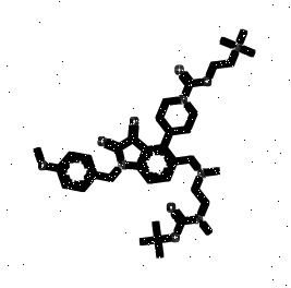 COc1ccc(CN2C(=O)C(=O)c3c2ccc(CN(C)CCN(C)C(=O)OC(C)(C)C)c3C2CCN(C(=O)OCC[Si](C)(C)C)CC2)cc1